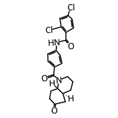 O=C1CC[C@H]2[C@@H](CCCN2C(=O)c2ccc(NC(=O)c3ccc(Cl)cc3Cl)cc2)C1